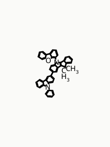 CC1(C)c2ccccc2-c2c1c1cc(-c3ccc4c(c3)c3ccccc3n4-c3ccccc3)ccc1n2-c1cccc2c1oc1ccccc12